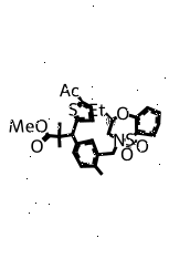 CC[C@@H]1CN(Cc2cc(C(c3ccc(C(C)=O)s3)C(C)(C)C(=O)OC)ccc2C)S(=O)(=O)c2ccccc2O1